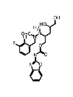 CN([C@H](COC(=O)Nc1nc2ccccc2o1)C[C@@H](O)CO)N(C=O)Cc1cccc(F)c1Cl